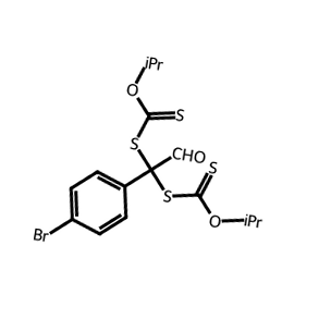 CC(C)OC(=S)SC(C=O)(SC(=S)OC(C)C)c1ccc(Br)cc1